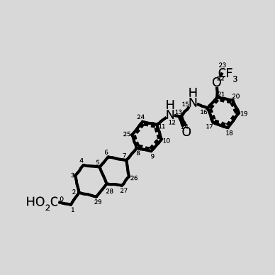 O=C(O)CC1CCC2CC(c3ccc(NC(=O)Nc4ccccc4OC(F)(F)F)cc3)CCC2C1